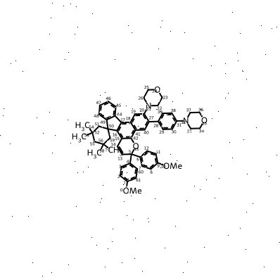 COc1ccc(C2(c3ccc(OC)cc3)C=Cc3c4c(c5cc(N6CCOCC6)c(-c6ccc(N7CCOCC7)cc6)cc5c3O2)-c2ccccc2C42CC(C)(C)CC(C)(C)C2)cc1